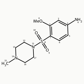 COc1cc(N)ccc1S(=O)(=O)N1CCN(C)CC1